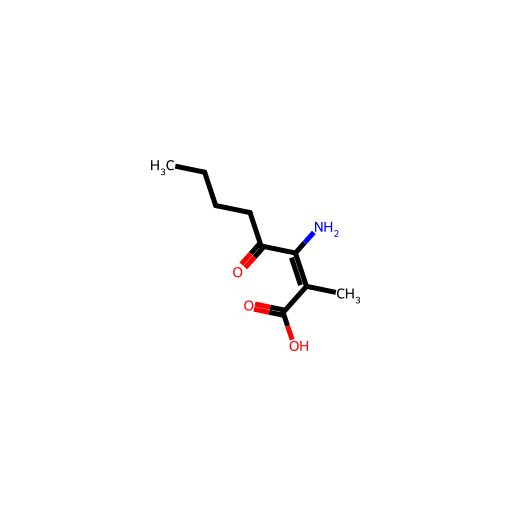 CCCCC(=O)C(N)=C(C)C(=O)O